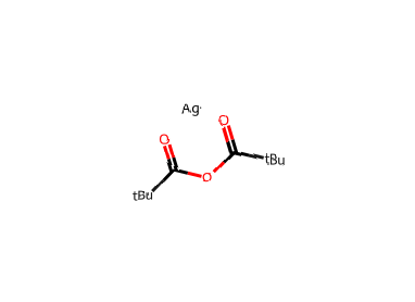 CC(C)(C)C(=O)OC(=O)C(C)(C)C.[Ag]